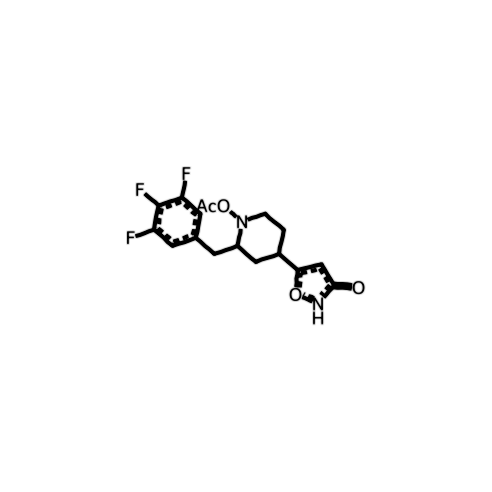 CC(=O)ON1CCC(c2cc(=O)[nH]o2)CC1Cc1cc(F)c(F)c(F)c1